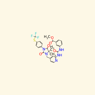 COC(=O)c1cccc(NC(=O)Nc2cc(CN3C(=O)N(c4ccc(SC(F)(F)F)cc4)C(=O)C3(C)C)ccn2)c1